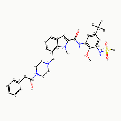 COc1c(NC(=O)c2cc3cccc(CN4CCN(C(=O)Cc5ccccc5)CC4)c3n2C)cc(C(C)(C)C)cc1NS(C)(=O)=O